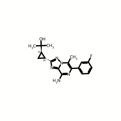 Cc1c(-c2cccc(F)c2)nc(N)c2nc([C@@H]3C[C@H]3C(C)(C)O)nn12